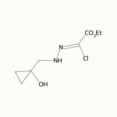 CCOC(=O)/C(Cl)=N/NCC1(O)CC1